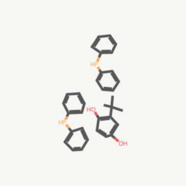 CC(C)(C)c1cc(O)ccc1O.c1ccc(Pc2ccccc2)cc1.c1ccc(Pc2ccccc2)cc1